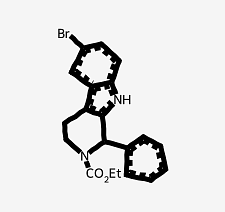 CCOC(=O)N1CCc2c([nH]c3ccc(Br)cc23)C1c1ccccc1